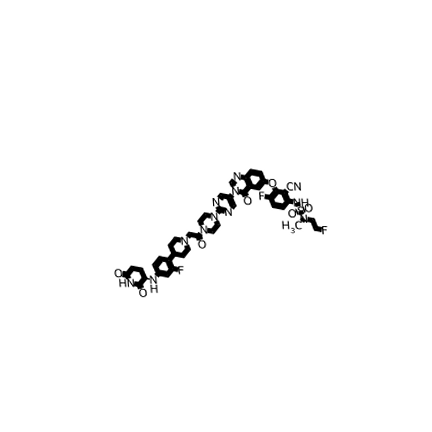 CN(CCF)S(=O)(=O)Nc1ccc(F)c(Oc2ccc3ncn(-c4cnc(N5CCN(C(=O)CN6CCC(c7ccc(N[C@H]8CCC(=O)NC8=O)cc7F)CC6)CC5)nc4)c(=O)c3c2)c1C#N